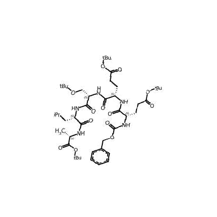 CC(C)C[C@H](NC(=O)[C@H](COC(C)(C)C)NC(=O)[C@H](CCC(=O)OC(C)(C)C)NC(=O)[C@H](CCC(=O)OC(C)(C)C)NC(=O)OCc1ccccc1)C(=O)N[C@@H](C)C(=O)OC(C)(C)C